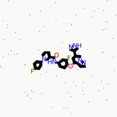 O=C(Nc1ccc(Oc2cc(-c3cn[nH]c3)cn3nccc23)c(F)c1)C1=CC=CN(c2ccc(F)cc2)C1